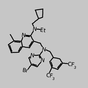 CCN(CC1CCC1)c1nc2c(C)cccc2cc1CN(CC1C=C(C(F)(F)F)C=C(C(F)(F)F)C1)c1ncc(Br)cn1